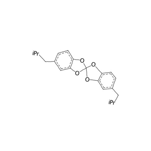 CC(C)Cc1ccc2c(c1)OC1(O2)Oc2ccc(CC(C)C)cc2O1